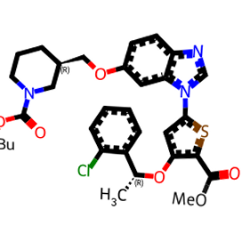 COC(=O)c1sc(-n2cnc3ccc(OC[C@@H]4CCCN(C(=O)OC(C)(C)C)C4)cc32)cc1O[C@H](C)c1ccccc1Cl